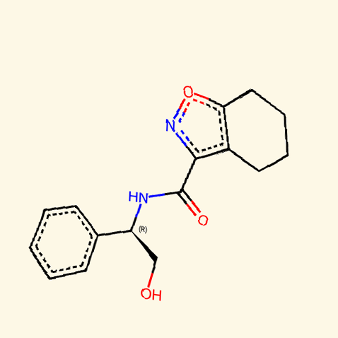 O=C(N[C@@H](CO)c1ccccc1)c1noc2c1CCCC2